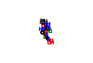 [2H]C([2H])([2H])NC(=O)c1nnc(Cl)cc1Nc1cccc(-c2nc3c(s2)CN(C(=O)O)C3)c1OC